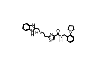 O=C(NCc1ccccc1N1CCCC1)c1csc(CCNCc2nc3ccccc3[nH]2)n1